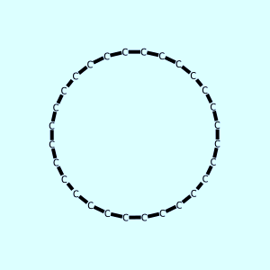 C1CCCCCCCCCCCCCCCCCCCCCCCCCCC1